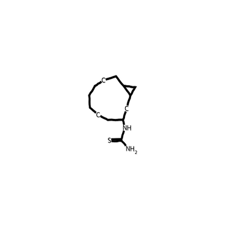 NC(=S)NC1CCCCCCCC2CC2C1